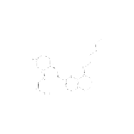 COCCCON1CCOc2ccc(CO[C@@H]3CCNC[C@@H]3OC[C@@H](C)O)cc21